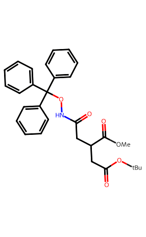 COC(=O)C(CC(=O)NOC(c1ccccc1)(c1ccccc1)c1ccccc1)CC(=O)OC(C)(C)C